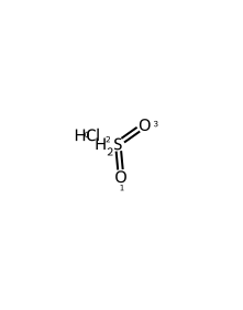 Cl.O=[SH2]=O